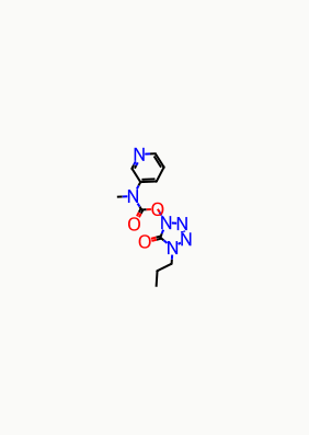 CCCn1nnn(OC(=O)N(C)c2cccnc2)c1=O